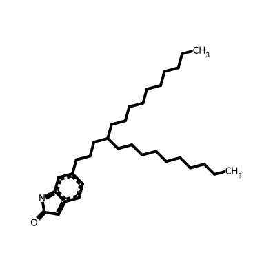 CCCCCCCCCCC(CCCCCCCCCC)CCCc1ccc2c(c1)=NC(=O)C=2